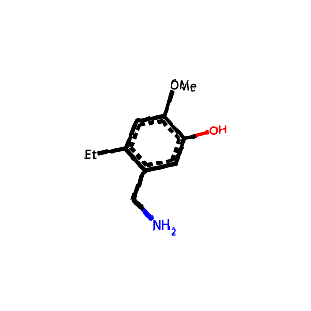 CCc1cc(OC)c(O)cc1CN